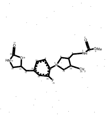 COC(=O)NCC1CN(c2ccc(CC3CNC(=O)O3)cc2F)CC1C